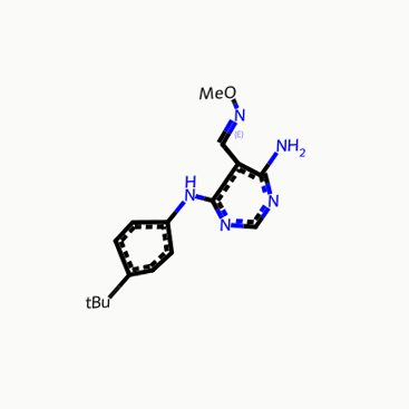 CO/N=C/c1c(N)ncnc1Nc1ccc(C(C)(C)C)cc1